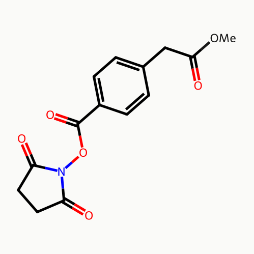 COC(=O)Cc1ccc(C(=O)ON2C(=O)CCC2=O)cc1